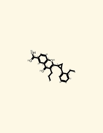 CCCc1c(C2CC2c2ccccc2CC)oc2ccc(C(=O)O)cc2c1=O